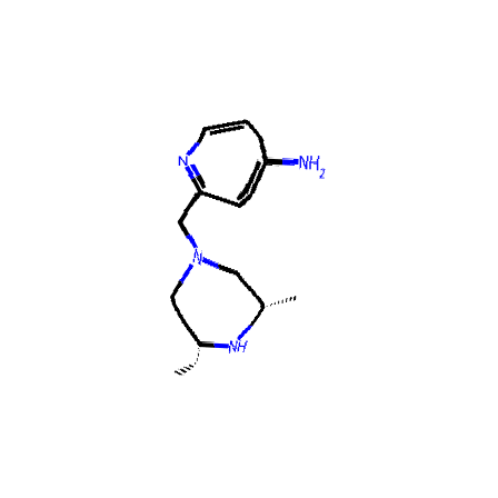 C[C@@H]1CN(Cc2cc(N)ccn2)C[C@H](C)N1